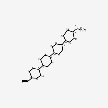 C=CC1CCC(C2CCC(C3CCC(C4CCC(OCCC)CC4)CC3)CC2)CC1